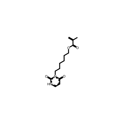 C=C(C)C(=O)OCCCCCCn1c(=O)cc[nH]c1=O